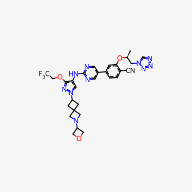 C[C@@H](Cn1cnnn1)Oc1cc(-c2cnc(Nc3cn(C4CC5(C4)CN(C4COC4)C5)nc3OCC(F)(F)F)nc2)ccc1C#N